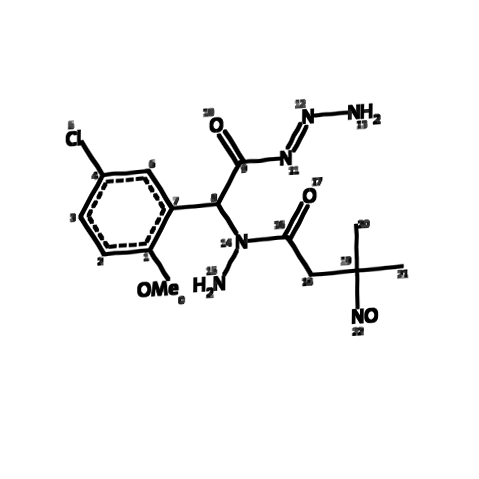 COc1ccc(Cl)cc1C(C(=O)N=NN)N(N)C(=O)CC(C)(C)N=O